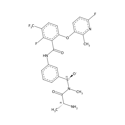 Cc1nc(F)ccc1Oc1ccc(C(F)(F)F)c(F)c1C(=O)Nc1cccc([S@@+]([O-])N(C)C(=O)[C@@H](C)N)c1